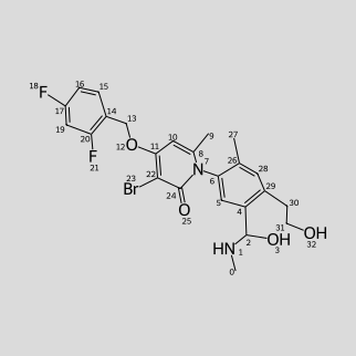 CNC(O)c1cc(-n2c(C)cc(OCc3ccc(F)cc3F)c(Br)c2=O)c(C)cc1CCO